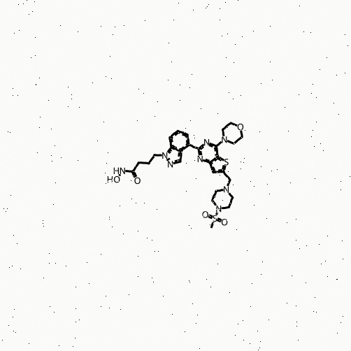 CS(=O)(=O)N1CCN(Cc2cc3nc(-c4cccc5c4cnn5CCCC(=O)NO)nc(N4CCOCC4)c3s2)CC1